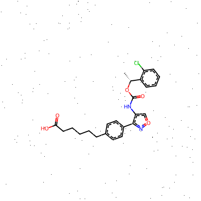 C[C@@H](OC(=O)Nc1conc1-c1ccc(CCCCCC(=O)O)cc1)c1ccccc1Cl